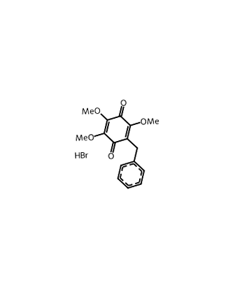 Br.COC1=C(Cc2ccccc2)C(=O)C(OC)=C(OC)C1=O